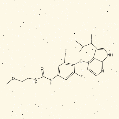 COCCNC(=O)Nc1cc(F)c(Oc2ccnc3[nH]cc(C(C)C(C)C)c23)c(F)c1